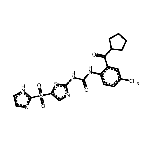 Cc1ccc(NC(=O)Nc2ncc(S(=O)(=O)c3ncc[nH]3)s2)c(C(=O)C2CCCC2)c1